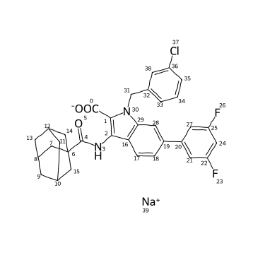 O=C([O-])c1c(NC(=O)C23CC4CC(CC(C4)C2)C3)c2ccc(-c3cc(F)cc(F)c3)cc2n1Cc1cccc(Cl)c1.[Na+]